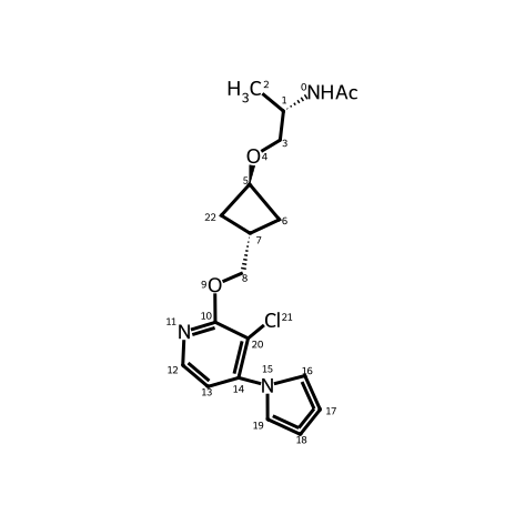 CC(=O)N[C@@H](C)CO[C@H]1C[C@H](COc2nccc(N3C=C=C=C3)c2Cl)C1